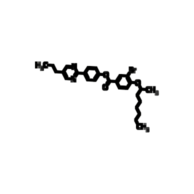 CCCCCCC(C)Oc1ccc(C(=O)Oc2ccc(-c3ncc(CCC)cn3)cc2)cc1Br